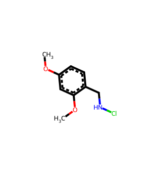 COc1ccc(CNCl)c(OC)c1